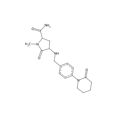 CN1C(=O)C(NCc2ccc(N3CCCCC3=O)cc2)[CH]C1C(N)=O